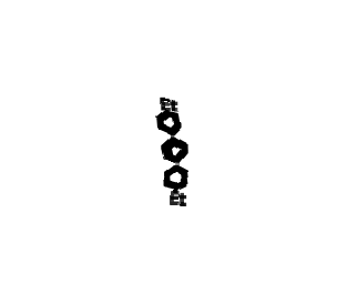 CC[C@H]1CC[C@H](c2ccc([C@H]3CC[C@H](CC)CC3)cc2)CC1